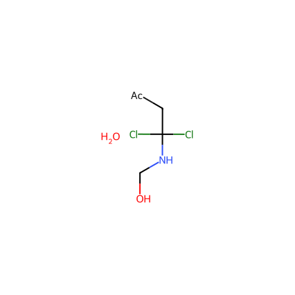 CC(=O)CC(Cl)(Cl)NCO.O